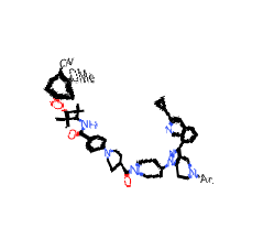 COc1cc(OC2C(C)(C)C(NC(=O)c3ccc(N4CCC(C(=O)N5CCC(n6nc(-c7cccc8cc(C9CC9)ncc78)c7c6CCN(C(C)=O)C7)CC5)CC4)cc3)C2(C)C)ccc1C#N